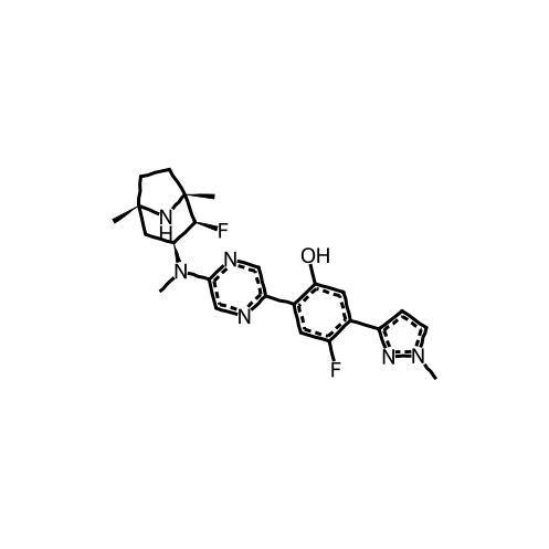 CN(c1cnc(-c2cc(F)c(-c3ccn(C)n3)cc2O)cn1)[C@H]1C[C@]2(C)CC[C@@](C)(N2)[C@H]1F